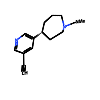 C#Cc1cncc([C@@H]2CCCN(NC)CC2)c1